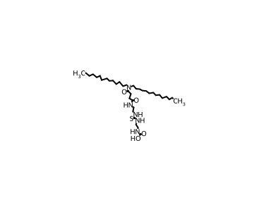 CCCCCCCCCCCCCCN(CCCCCCCCCCCCCC)C(=O)CCC(=O)NCCNC(=S)NCCNC(=O)O